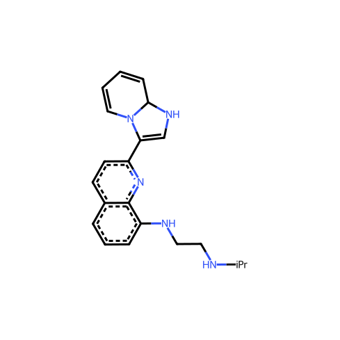 CC(C)NCCNc1cccc2ccc(C3=CNC4C=CC=CN34)nc12